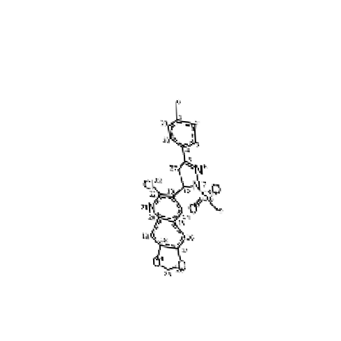 Cc1ccc(C2=NN(S(C)(=O)=O)C(c3cc4cc5c(cc4nc3Cl)OCO5)C2)cc1